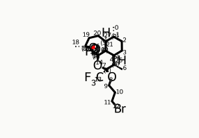 C[C@@H]1CC[C@H]2[C@@H](C)[C@](OCCCBr)(C(F)(F)F)O[C@@H]3O[C@]4(C)CC[C@@H]1[C@]32OO4